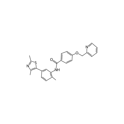 Cc1nc(C)c(-c2ccc(C)c(NC(=O)c3ccc(OCc4ccccn4)cc3)c2)s1